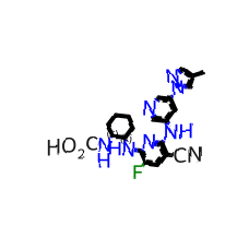 Cc1cnn(-c2cncc(Nc3nc(N[C@@H]4CCCC[C@@H]4NC(=O)O)c(F)cc3C#N)c2)c1